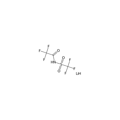 O=C(NS(=O)(=O)C(F)(F)F)C(F)(F)F.[LiH]